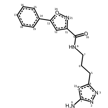 Nc1nnc(CCCNC(=O)c2cc(-c3ccccc3)on2)s1